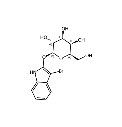 OC[C@H]1O[C@@H](Oc2[nH]c3ccccc3c2Br)[C@H](O)[C@@H](O)[C@H]1O